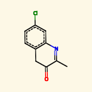 CC1=Nc2cc(Cl)ccc2CC1=O